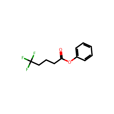 O=C(CCCC(F)(F)F)Oc1ccccc1